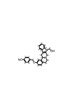 N#Cc1ccc(COc2ccc3c(c2)C2Cc4c(n(CO)c5ccccc45)CN2CC3)cc1